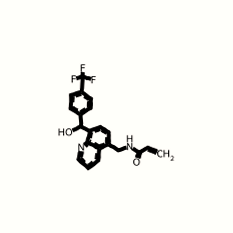 C=CC(=O)NCc1ccc(C(O)c2ccc(C(F)(F)F)cc2)c2ncccc12